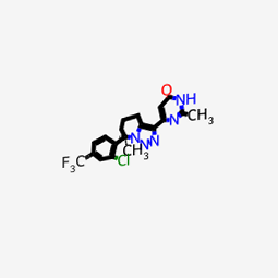 Cc1nc(-c2nnn3c2CCC[C@]3(C)c2ccc(C(F)(F)F)cc2Cl)cc(=O)[nH]1